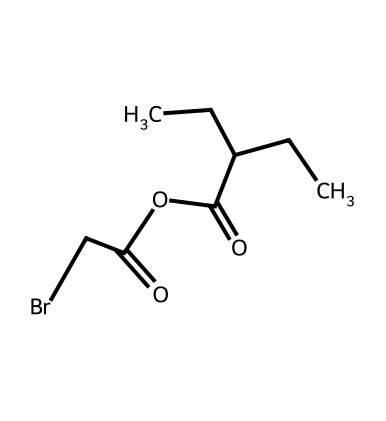 CCC(CC)C(=O)OC(=O)CBr